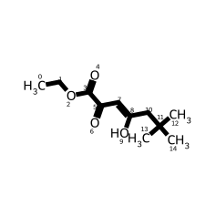 CCOC(=O)C(=O)C=C(O)CC(C)(C)C